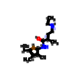 C=C/N=C\C=C(/C)C(=O)Nc1sc(CC(C)CC)c(C)c1C#N